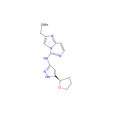 COCc1cn2c(Nc3cc([C@H]4C[CH]CO4)[nH]n3)nccc2n1